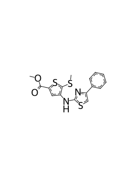 COC(=O)c1cc(Nc2nc(-c3ccccc3)cs2)c(SC)s1